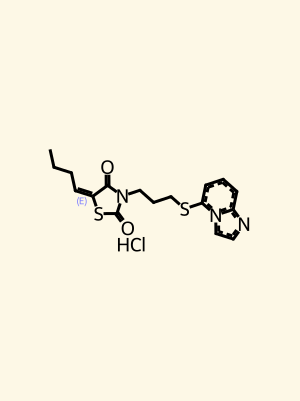 CCC/C=C1/SC(=O)N(CCCSc2cccc3nccn23)C1=O.Cl